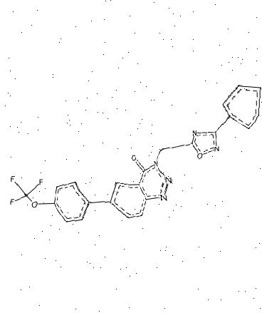 O=c1c2cc(-c3ccc(OC(F)(F)F)cc3)ccc2nnn1Cc1nc(-c2ccccc2)no1